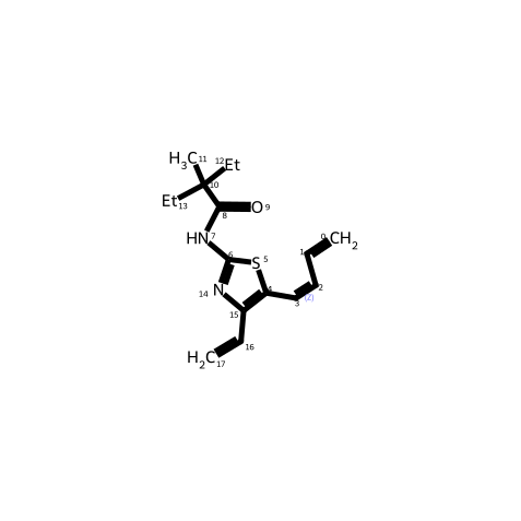 C=C/C=C\c1sc(NC(=O)C(C)(CC)CC)nc1C=C